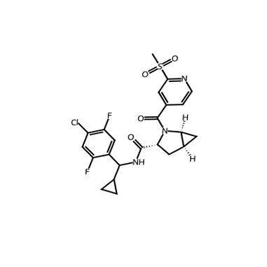 CS(=O)(=O)c1cc(C(=O)N2[C@@H](C(=O)NC(c3cc(F)c(Cl)cc3F)C3CC3)C[C@@H]3C[C@@H]32)ccn1